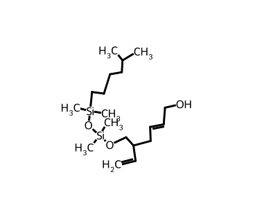 C=CC(C/C=C/CO)CO[Si](C)(C)O[Si](C)(C)CCCCC(C)C